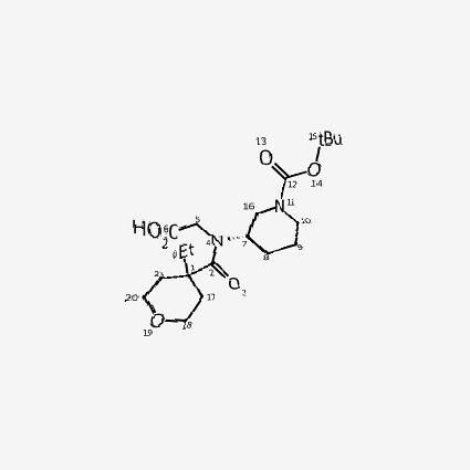 CCC1(C(=O)N(CC(=O)O)[C@H]2CCCN(C(=O)OC(C)(C)C)C2)CCOCC1